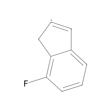 Fc1cccc2c1C[C]=C2